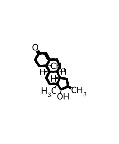 CC1C[C@H]2[C@@H]3CCC4=CC(=O)CC[C@]4(C)[C@H]3CC[C@]2(C)[C@H]1O